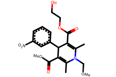 COCN1C(C)=C(C(=O)OC)C(c2cccc([N+](=O)[O-])c2)C(C(=O)OCCO)=C1C